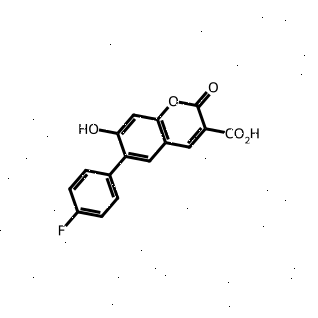 O=C(O)c1cc2cc(-c3ccc(F)cc3)c(O)cc2oc1=O